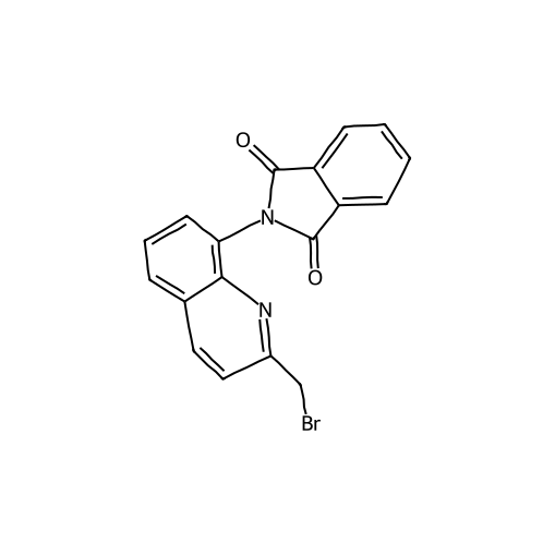 O=C1c2ccccc2C(=O)N1c1cccc2ccc(CBr)nc12